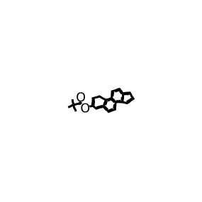 CC(C)(C)C(=O)OC1=CCc2c(ccc3c4c(ccc23)=CC=C4)=C1